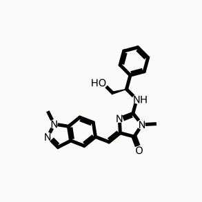 CN1C(=O)/C(=C/c2ccc3c(cnn3C)c2)N=C1N[C@@H](CO)c1ccccc1